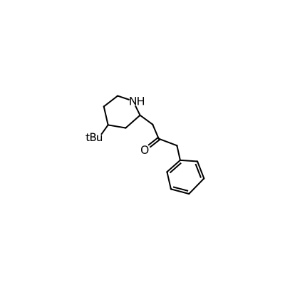 CC(C)(C)C1CCNC(CC(=O)Cc2ccccc2)C1